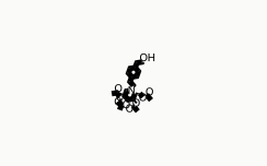 CC(=O)OC[C@@H]1[C@@H](OC(C)=O)[C@H](OC(C)=O)[C@@H](OC(C)=O)CN1CCC1CCC(CCO)CC1